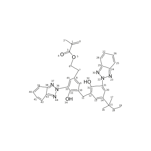 C=C(C)C(=O)OCCc1cc(Cc2cc(C(C)(C)CC)cc(-n3nc4ccccc4n3)c2O)c(O)c(-n2nc3ccccc3n2)c1